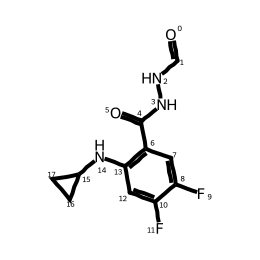 O=CNNC(=O)c1cc(F)c(F)cc1NC1CC1